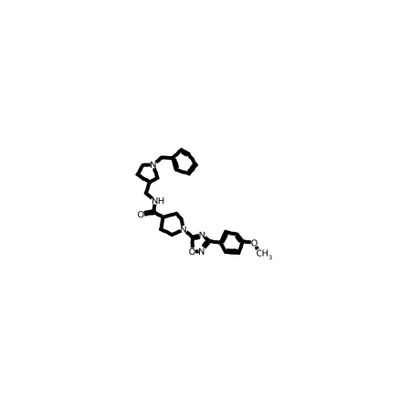 COc1ccc(-c2noc(N3CCC(C(=O)NCC4CCN(Cc5ccccc5)C4)CC3)n2)cc1